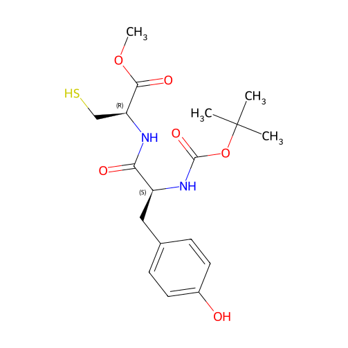 COC(=O)[C@H](CS)NC(=O)[C@H](Cc1ccc(O)cc1)NC(=O)OC(C)(C)C